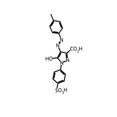 Cc1ccc(/N=N/c2c(C(=O)O)nn(-c3ccc(S(=O)(=O)O)cc3)c2O)cc1